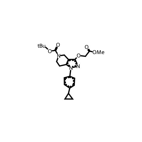 COC(=O)COc1nn(-c2ccc(C3CC3)cc2)c2c1CN(C(=O)OC(C)(C)C)CC2